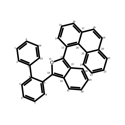 c1ccc(-c2ccccc2-c2oc(-c3cccc4ccc5ccccc5c34)c3ccccc23)cc1